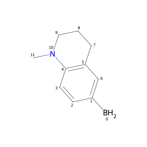 Bc1ccc2c(c1)CCCN2C